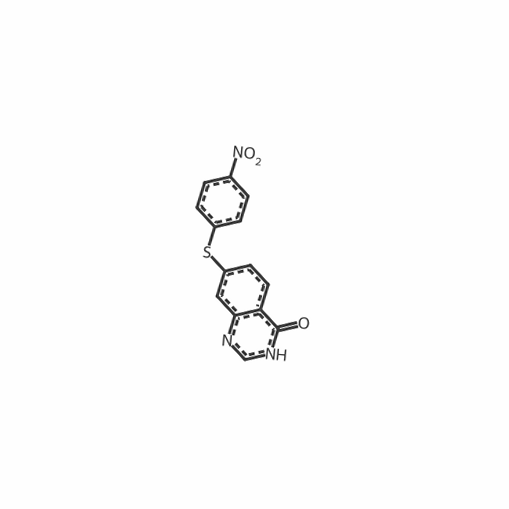 O=c1[nH]cnc2cc(Sc3ccc([N+](=O)[O-])cc3)ccc12